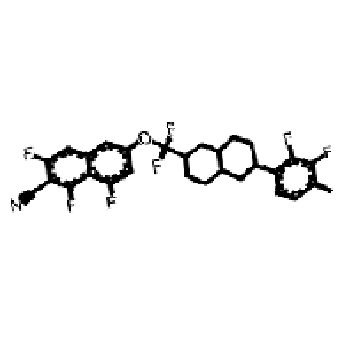 Cc1ccc(C2CCC3CC(C(F)(F)Oc4cc(F)c5c(F)c(C#N)c(F)cc5c4)CCC3C2)c(F)c1F